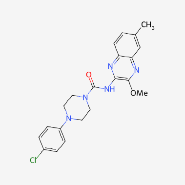 COc1nc2cc(C)ccc2nc1NC(=O)N1CCN(c2ccc(Cl)cc2)CC1